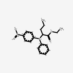 CCCC(C(=O)OCC)N(c1ccccc1)c1ccc([N+](=O)[O-])cc1